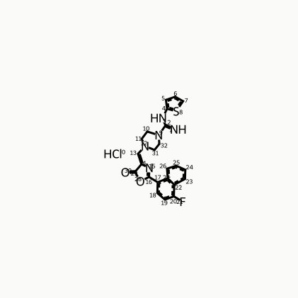 Cl.N=C(Nc1cccs1)N1CCN(C=C2N=C(c3ccc(F)c4ccccc34)OC2=O)CC1